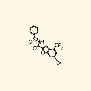 O=C(N[S+]([O-])c1ccccc1)c1cc2c(C(F)(F)F)cc(C3CC3)cc2o1